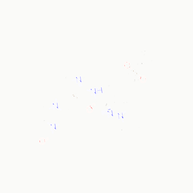 O=CN1CCN(Cc2cnc(NC(=O)/C(=N/N3CCCC3)c3ccc(S(=O)(=O)C4CC4)cc3)s2)CC1